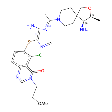 C=N/C(Sc1ccc2ncn(CCOC)c(=O)c2c1Cl)=C(N)\N=C(/C)N1CCC2(CC1)CO[C@@H](C)[C@H]2N